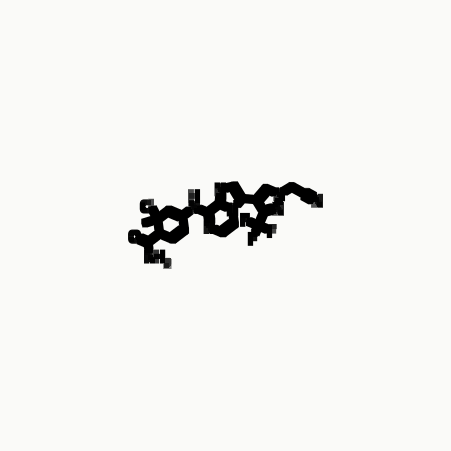 CC1(Cl)C=C(Nc2nccn3c(-c4cn(CC#N)nc4C(F)(F)F)cnc23)C=CC1C(N)=O